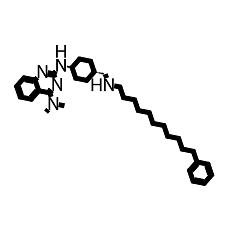 CN(C)c1nc(N[C@H]2CC[C@@H](CNCCCCCCCCCCCc3ccccc3)CC2)nc2ccccc12